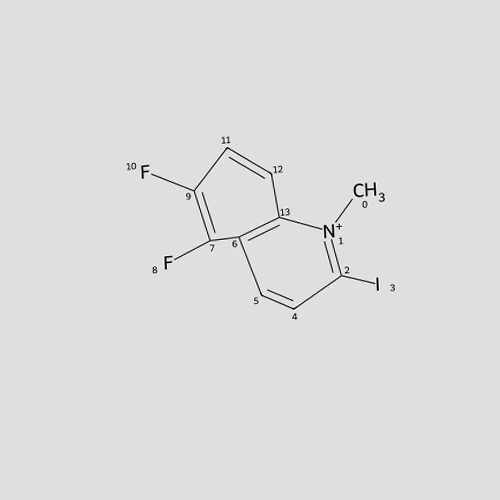 C[n+]1c(I)ccc2c(F)c(F)ccc21